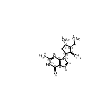 C=C1[C@H](COC(C)=O)[C@@H](OC(C)=O)C[C@@H]1n1cnc2c(=O)[nH]c(N)nc21